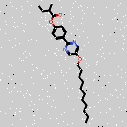 CCCCCCCCCCCOc1cnc(-c2ccc(OC(=O)C(C)CC)cc2)nc1